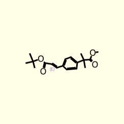 COC(=O)C(C)(C)c1ccc(/C=C/C(=O)OC(C)(C)C)cc1